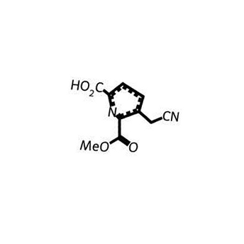 COC(=O)c1nc(C(=O)O)ccc1CC#N